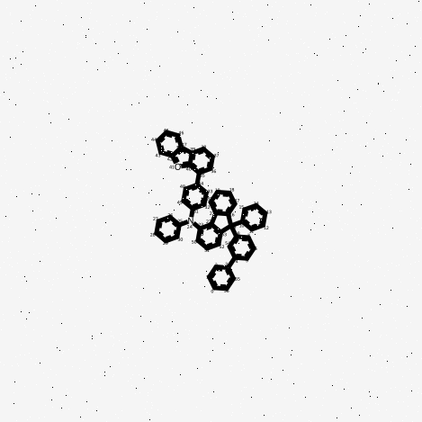 c1ccc(-c2cccc(C3(c4ccccc4)c4ccccc4-c4c(N(c5ccccc5)c5ccc(-c6cccc7c6oc6ccccc67)cc5)cccc43)c2)cc1